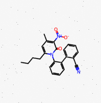 CCCCc1cc(C)c([N+](=O)[O-])c(=O)n1-c1ccccc1-c1ccccc1C#N